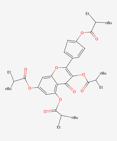 CCCCC(CC)C(=O)Oc1ccc(-c2oc3cc(OC(=O)C(CC)CCCC)cc(OC(=O)C(CC)CCCC)c3c(=O)c2OC(=O)C(CC)CCCC)cc1